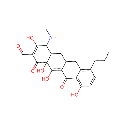 CCCc1ccc(O)c2c1CC1CC3C(N(C)C)C(O)=C(C=O)C(=O)C3(O)C(O)=C1C2=O